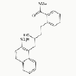 CNC(=O)c1ccccc1CCC(O)Cc1c(S(=O)(=O)O)ccc2ccccc12